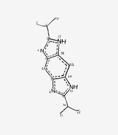 CC(C)c1nc2cc3nc(C(C)C)[nH]c3cc2[nH]1